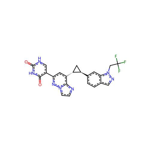 O=c1[nH]cc(-c2cc([C@@H]3C[C@H]3c3ccc4cnn(CC(F)(F)F)c4c3)c3nccn3n2)c(=O)[nH]1